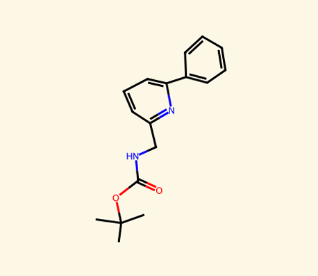 CC(C)(C)OC(=O)NCc1cccc(-c2ccccc2)n1